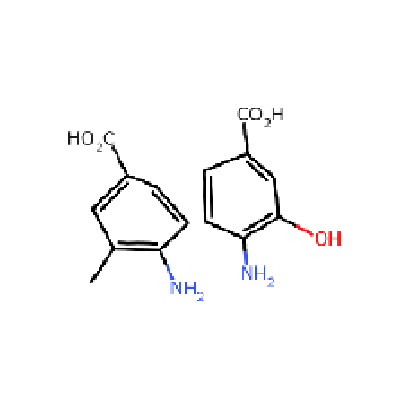 Cc1cc(C(=O)O)ccc1N.Nc1ccc(C(=O)O)cc1O